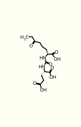 CCC(=O)CCC[C@H](NC(=O)N[C@@H](CCC(=O)O)C(=O)O)C(=O)O